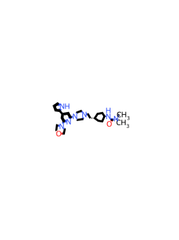 CN(C)C(=O)N[C@H]1CC[C@H](CCN2CCN(c3cc(-c4ccc[nH]4)cc(N4CCOCC4)n3)CC2)CC1